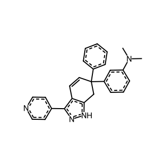 CN(C)c1cccc(C2(c3ccccc3)C=Cc3c(-c4ccncc4)n[nH]c3C2)c1